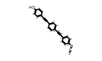 Oc1ccc(C#Cc2ccc(C#Cc3ccc(N=C=S)cc3)cc2)cc1